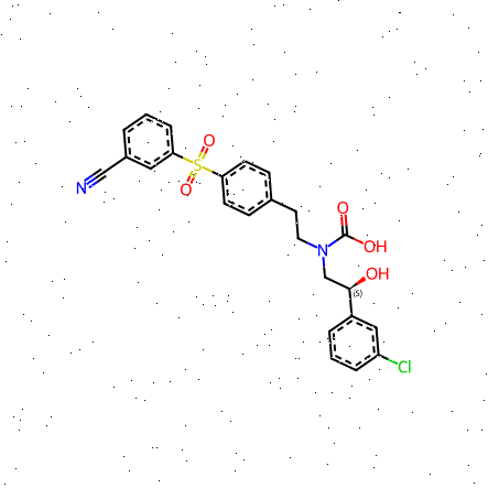 N#Cc1cccc(S(=O)(=O)c2ccc(CCN(C[C@@H](O)c3cccc(Cl)c3)C(=O)O)cc2)c1